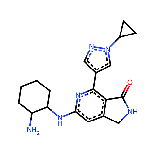 NC1CCCCC1Nc1cc2c(c(-c3cnn(C4CC4)c3)n1)C(=O)NC2